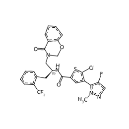 Cn1ncc(F)c1-c1cc(C(=O)N[C@@H](Cc2ccccc2C(F)(F)F)CN2COc3ccccc3C2=O)sc1Cl